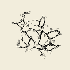 CO[C@H]1C(=O)N2C=C(C3CC(C(N)=O)CC[N+]3([O-])[O-])C(C3C(Cc4c[nH]nn4)C3(c3ccccc3)c3ccccc3)S[C@@H]12